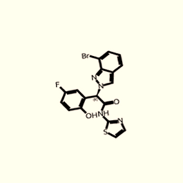 O=C(Nc1nccs1)[C@@H](c1cc(F)ccc1O)n1cc2cccc(Br)c2n1